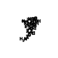 Cc1c(S(=O)(=O)NC(c2ccc(C#N)c(C(F)(F)F)c2)P(=O)(O)O)sc2ccc(OCCN)c(Cl)c12